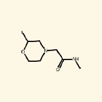 CNC(=O)CN1CCOC(I)C1